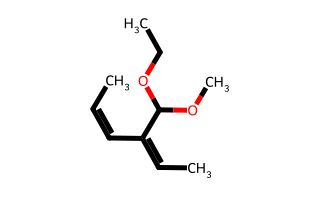 CC=C(/C=C\C)C(OC)OCC